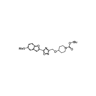 CSc1ccc2oc(-c3nc(COC4CCN(C(=O)OC(C)(C)C)CC4)no3)cc2c1